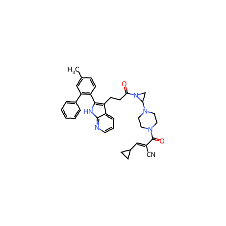 Cc1ccc(-c2[nH]c3ncccc3c2CCC(=O)N2CC2N2CCN(C(=O)C(C#N)=CC3CC3)CC2)c(-c2ccccc2)c1